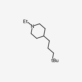 CCN1CCC(CCCC(C)(C)C)CC1